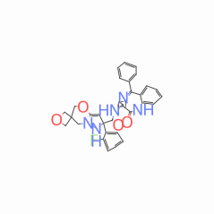 O=C1Nc2ccccc2C(c2ccccc2)=N[C@@H]1NC(=O)C1(c2ccccc2F)C=C2OCC3(COC3)CN2N1